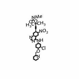 CNC(=O)OC(C)(C)C#Cc1cc2ncnc(Nc3ccc(OCc4ccccn4)c(Cl)c3)c2cc1[N+](=O)[O-]